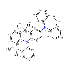 CC1(C)c2ccccc2N2c3ccc(N4c5ccccc5CCc5ccccc54)cc3C(C)(C)c3cccc1c32